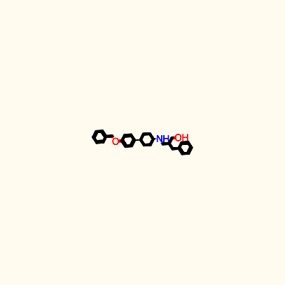 OCC(CN[C@H]1CC[C@H](c2ccc(OCc3ccccc3)cc2)CC1)Cc1ccccc1